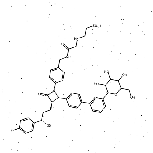 O=C(CNCCS(=O)(=O)O)NCc1ccc(N2C(=O)[C@H](CC[C@H](O)c3ccc(F)cc3)[C@H]2c2ccc(-c3cccc(C4OC(CO)C(O)C(O)C4O)c3)cc2)cc1